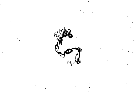 CC1CCCN1C(=O)Cc1cc(OCCC2CCN(C(=O)C3CC(CN4CCC(Cn5cc(C(/C=C(\N)c6ccccc6O)=C(N)N)cn5)CC4)C3)CC2)no1